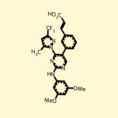 COc1cc(Nc2ncc(-c3cccc(C=CC(=O)O)c3)c(-n3nc(C(F)(F)F)cc3C)n2)cc(OC)c1